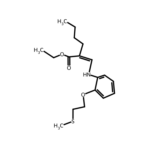 CCCCC(=CNc1ccccc1OCCSC)C(=O)OCC